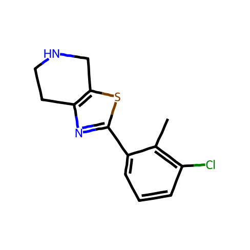 Cc1c(Cl)cccc1-c1nc2c(s1)CNCC2